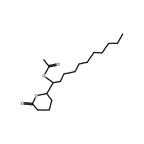 CCCCCCCCCCC(OC(C)=O)C1CCCC(=O)O1